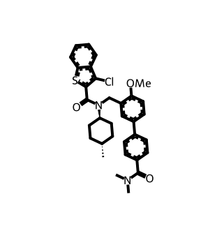 COc1ccc(-c2ccc(C(=O)N(C)C)cc2)cc1CN(C(=O)c1sc2ccccc2c1Cl)[C@H]1CC[C@H](C)CC1